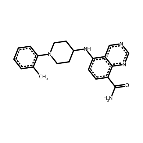 Cc1ccccc1N1CCC(Nc2ccc(C(N)=O)c3ncncc23)CC1